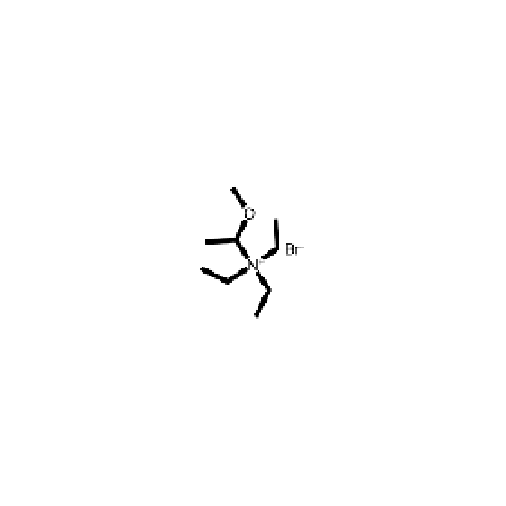 CC[N+](CC)(CC)C(C)OC.[Br-]